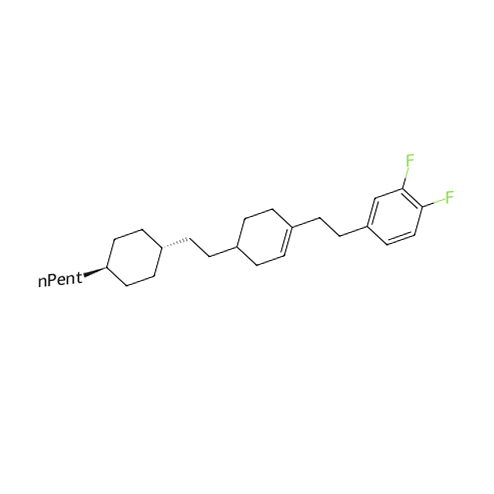 CCCCC[C@H]1CC[C@H](CCC2CC=C(CCc3ccc(F)c(F)c3)CC2)CC1